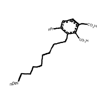 CCCCCCCCCCCCCCCCCCc1c(CCC)ccc(C(=O)O)c1C(=O)O